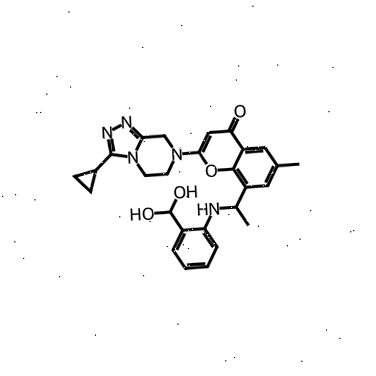 Cc1cc(C(C)Nc2ccccc2C(O)O)c2oc(N3CCn4c(nnc4C4CC4)C3)cc(=O)c2c1